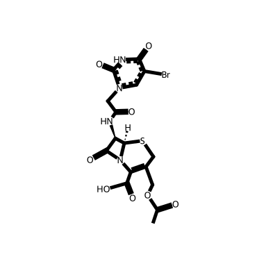 CC(=O)OCC1=C(C(=O)O)N2C(=O)[C@@H](NC(=O)Cn3cc(Br)c(=O)[nH]c3=O)[C@H]2SC1